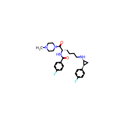 CN1CCN(C(=O)[C@H](CCCCN[C@@H]2C[C@H]2c2ccc(F)cc2)NC(=O)c2ccc(F)cc2)CC1